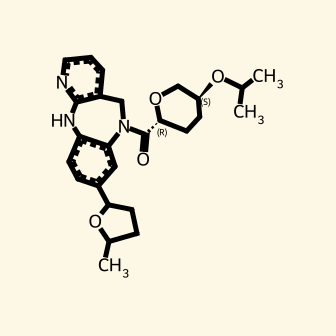 CC(C)O[C@H]1CC[C@H](C(=O)N2Cc3cccnc3Nc3ccc(C4CCC(C)O4)cc32)OC1